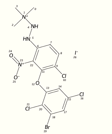 C[N+](C)(C)NNc1ccc(Cl)c(Oc2cc(Cl)cc(Br)c2Cl)c1[N+](=O)[O-].[I-]